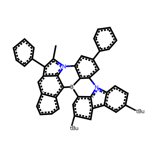 Cc1c(-c2ccccc2)c2cc3ccccc3c3c2n1-c1cc(-c2ccccc2)cc2c1B3c1cc(C(C)(C)C)cc3c4cc(C(C)(C)C)ccc4n-2c13